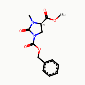 CN1C(=O)N(C(=O)OCc2ccccc2)C[C@@H]1C(=O)OC(C)(C)C